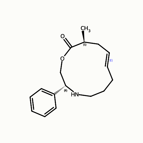 C[C@H]1C/C=C/CCCN[C@H](c2ccccc2)COC1=O